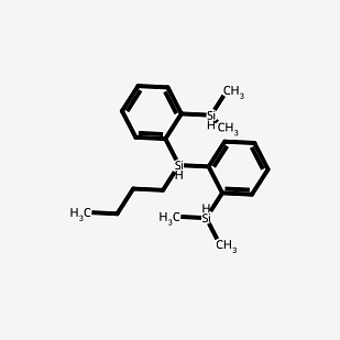 CCCC[SiH](c1ccccc1[SiH](C)C)c1ccccc1[SiH](C)C